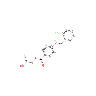 O=C(O)CCC(=O)c1c#cc(OCc2ccccc2F)cc1